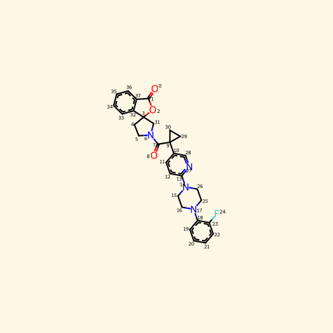 O=C1OC2(CCN(C(=O)C3(c4ccc(N5CCN(c6ccccc6F)CC5)nc4)CC3)C2)c2ccccc21